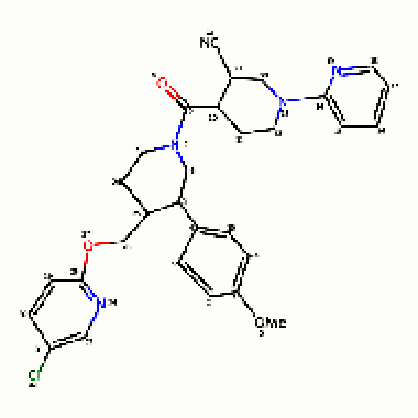 COc1ccc(C2CN(C(=O)C3CCN(c4ccccn4)CC3C#N)CCC2COc2ccc(Cl)cn2)cc1